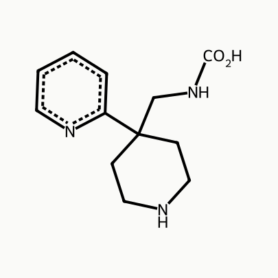 O=C(O)NCC1(c2ccccn2)CCNCC1